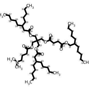 CCCCCC(CCCCC)COC(=O)CCC(=O)OCC(COC(=O)CCCN(C)C)(COC(=O)CC(CCCCC)CCCCC)COC(=O)CC(CCCCC)CCCCC